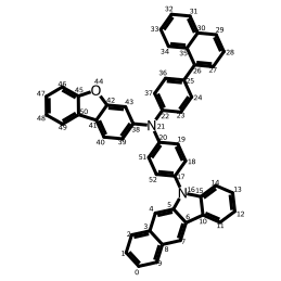 c1ccc2cc3c(cc2c1)c1ccccc1n3-c1ccc(N(c2ccc(-c3cccc4ccccc34)cc2)c2ccc3c(c2)oc2ccccc23)cc1